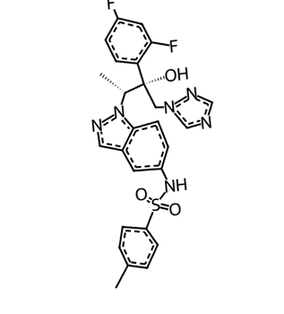 Cc1ccc(S(=O)(=O)Nc2ccc3c(cnn3[C@H](C)[C@](O)(Cn3cncn3)c3ccc(F)cc3F)c2)cc1